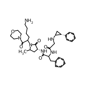 CC1C[C@@H](NC(=O)C(Cc2ccccc2)NC(=O)CN[C@H]2C[C@@H]2c2ccccc2)C(=O)N1C(CCCCN)C(=O)N1CCOCC1